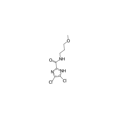 COCCCNC(=O)c1nc(Cl)c(Cl)[nH]1